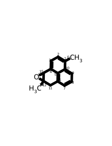 Cc1ccc2c3c(cccc13)CC1(C)OC21